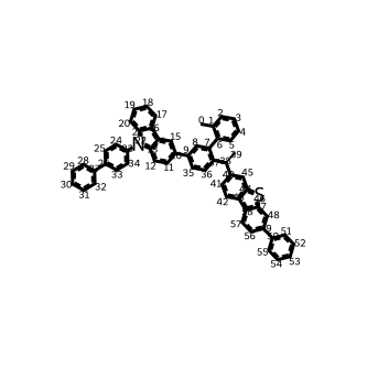 Cc1ccccc1-c1cc(-c2ccc3c(c2)c2ccccc2n3-c2ccc(-c3ccccc3)cc2)ccc1[C@@H](C)c1ccc2c(c1)sc1cc(-c3ccccc3)ccc12